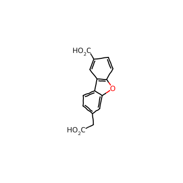 O=C(O)Cc1ccc2c(c1)oc1ccc(C(=O)O)cc12